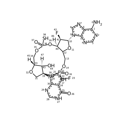 Nc1ncnc2c1ncn2[C@@H]1OC2COP(=O)(S)O[C@]3(n4cc(F)c5c(=O)[nH]cnc54)CO[C@H](COP(=O)(S)O[C@H]2[C@H]1F)[C@H]3O